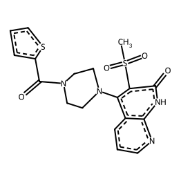 CS(=O)(=O)c1c(N2CCN(C(=O)c3cccs3)CC2)c2cccnc2[nH]c1=O